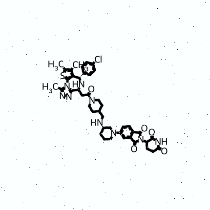 Cc1sc2c(c1C)[C@H](c1ccc(Cl)cc1)NC(CC(=O)N1CCC(CN[C@H]3CCCN(c4ccc5c(c4)C(=O)N(C4CCC(=O)NC4=O)C5=O)C3)CC1)c1nnc(C)n1-2